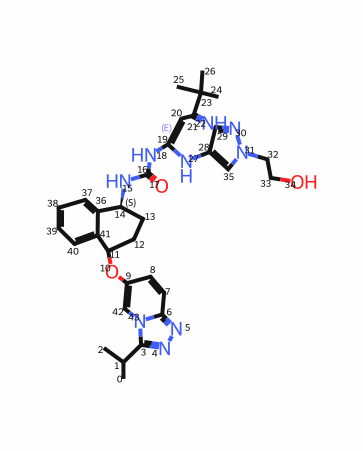 CC(C)c1nnc2ccc(OC3CC[C@H](NC(=O)N/C(=C/C(=N)C(C)(C)C)Nc4cnn(CCO)c4)c4ccccc43)cn12